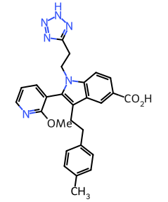 COc1ncccc1-c1c(CCc2ccc(C)cc2)c2cc(C(=O)O)ccc2n1CCc1nn[nH]n1